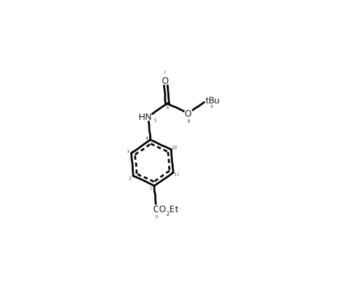 CCOC(=O)c1ccc(NC(=O)OC(C)(C)C)cc1